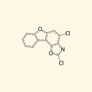 Clc1nc2c(Cl)cc3oc4ccccc4c3c2o1